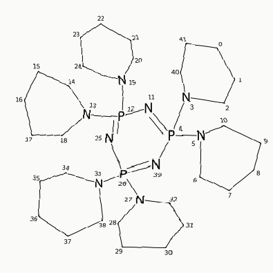 C1CCN(P2(N3CCCCC3)=NP(N3CCCCC3)(N3CCCCC3)=NP(N3CCCCC3)(N3CCCCC3)=N2)CC1